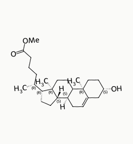 COC(=O)CCC[C@@H](C)[C@H]1CC[C@H]2[C@@H]3CC=C4C[C@@H](O)CC[C@]4(C)C3CC[C@]12C